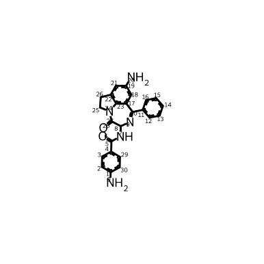 Nc1ccc(C(=O)NC2N=C(c3ccccc3)c3cc(N)cc4c3N(CC4)C2=O)cc1